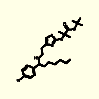 CCCCCCC(NCCc1csc(SC(C)(C)C(=O)OC(C)(C)C)n1)c1ccc(Br)cn1